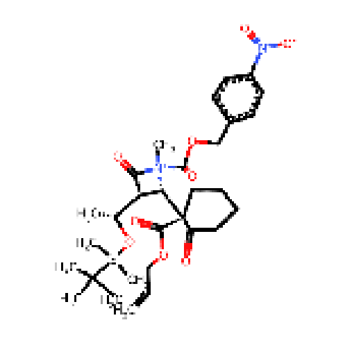 C=CCOC(=O)[C@@]1([C@@H]2[C@@H]([C@@H](C)O[Si](C)(C)C(C)(C)C)C(=O)[N+]2(C)C(=O)OCc2ccc([N+](=O)[O-])cc2)CCCCC1=O